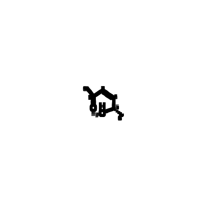 CC(=O)/C=C\[C@H](C)O